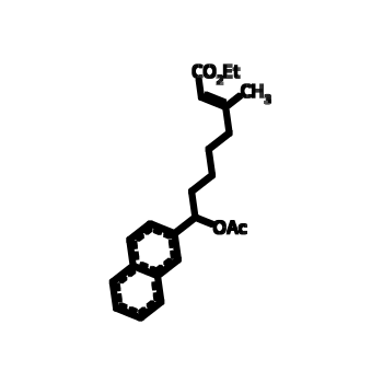 CCOC(=O)C=C(C)CCCCC(OC(C)=O)c1ccc2ccccc2c1